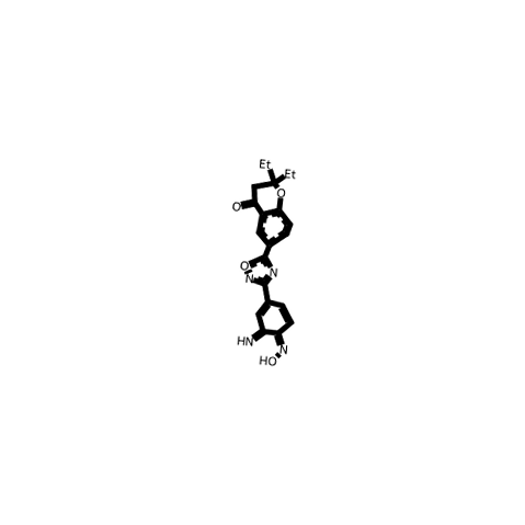 CCC1(CC)CC(=O)c2cc(-c3nc(C4=CC(=N)/C(=N\O)C=C4)no3)ccc2O1